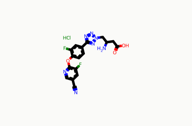 Cl.N#Cc1cnc(Oc2ccc(-c3nnn(CC(N)CC(=O)O)n3)cc2F)c(F)c1